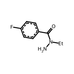 CCN(N)C(=O)c1ccc(F)cc1